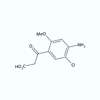 COc1cc(N)c(Cl)cc1C(=O)CC(=O)O